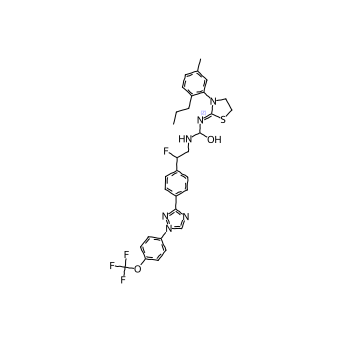 CCCc1ccc(C)cc1N1CCS/C1=N\C(O)NCC(F)c1ccc(-c2ncn(-c3ccc(OC(F)(F)F)cc3)n2)cc1